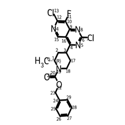 C[C@@H]1CC(c2nc(Cl)nc3c(F)c(Cl)ncc23)CCN1C(=O)OCc1ccccc1